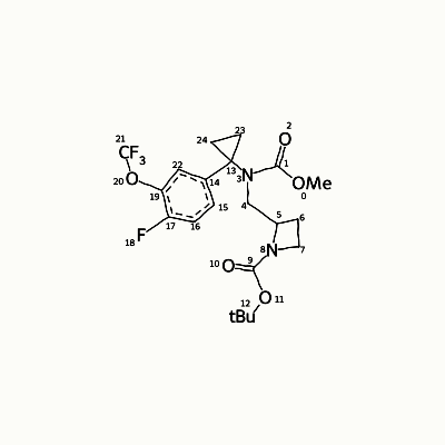 COC(=O)N(CC1CCN1C(=O)OC(C)(C)C)C1(c2ccc(F)c(OC(F)(F)F)c2)CC1